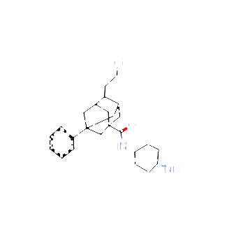 N[C@H]1CC[C@H](NC(=O)C23CC4CC(c5ccccc5)(CC(C2)C4CCCl)C3)CC1